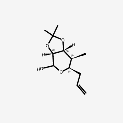 C=CC[C@H]1OC(O)[C@@H]2OC(C)(C)O[C@@H]2[C@H]1C